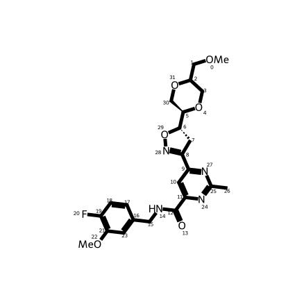 COCC1CO[C@@H]([C@@H]2CC(c3cc(C(=O)NCc4ccc(F)c(OC)c4)nc(C)n3)=NO2)CO1